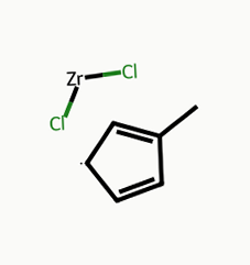 CC1=C[CH]C=C1.[Cl][Zr][Cl]